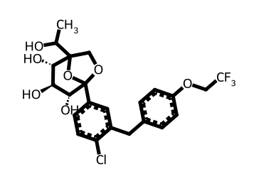 CC(O)C12COC(c3ccc(Cl)c(Cc4ccc(OCC(F)(F)F)cc4)c3)(O1)[C@H](O)[C@@H](O)[C@@H]2O